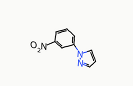 O=[N+]([O-])c1cccc(-n2cccn2)c1